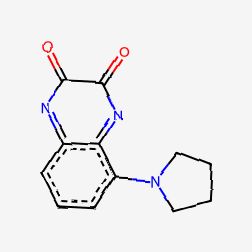 O=C1N=c2cccc(N3CCCC3)c2=NC1=O